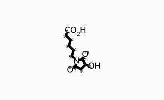 O=C(O)CCCCCN1C(=O)CC(O)C1=O